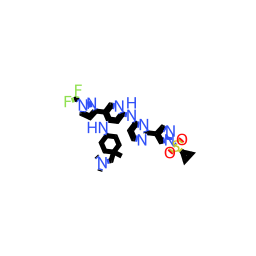 CN(C)CC1(C)CCC(Nc2cc(Nc3ccnc(-c4cnn(S(=O)(=O)C5CC5)c4)n3)ncc2-c2ccn(C(F)F)n2)CC1